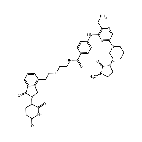 CN1CCN([C@@H]2CCCN(c3cnc(CN)c(Nc4ccc(C(=O)NCCOCCc5cccc6c5CN(C5CCC(=O)NC5=O)C6=O)cc4)n3)C2)C1=O